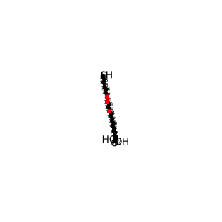 O=P(O)(O)CCCCCCCCCCCCCCCCCCCCCCCCCCS